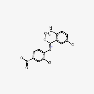 CO/C(=N\c1ccc([N+](=O)[O-])cc1Cl)c1cc(Cl)ccc1O